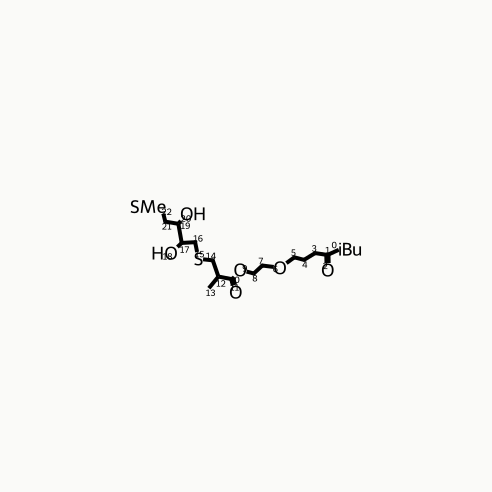 CCC(C)C(=O)CCCOCCOC(=O)C(C)CSCC(O)C(O)CSC